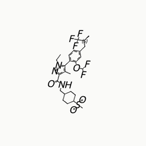 CCn1nc(C(=O)NCC2CCC(S(C)(=O)=O)CC2)c(C)c1-c1ccc(C[C@H](C)C(F)(F)F)cc1OC(F)F